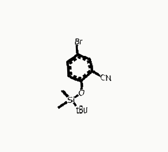 CC(C)(C)[Si](C)(C)Oc1ccc(Br)cc1C#N